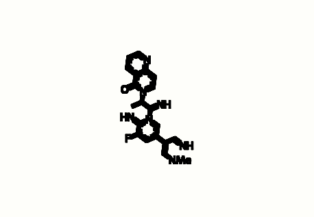 CN/C=C(\C=N)c1cc(F)c(=N)n(C(=N)C(C)n2ccc3ncccc3c2=O)c1